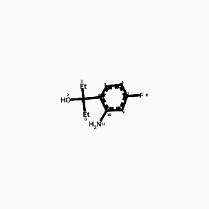 CCC(O)(CC)c1ccc(F)cc1N